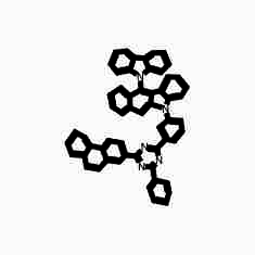 c1ccc(-c2nc(-c3cccc(-n4c5ccccc5c5c(-n6c7ccccc7c7ccccc76)c6ccccc6cc54)c3)nc(-c3ccc4c(ccc5ccccc54)c3)n2)cc1